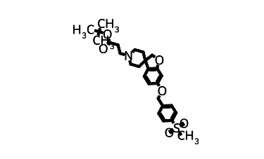 CC(C)(C)OC(=O)CCN1CCC2(CC1)COc1cc(OCc3ccc(S(C)(=O)=O)cc3)ccc12